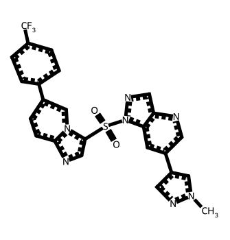 Cn1cc(-c2cnc3cnn(S(=O)(=O)c4cnc5ccc(-c6ccc(C(F)(F)F)cc6)cn45)c3c2)cn1